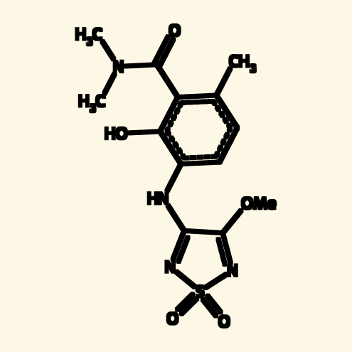 COC1=NS(=O)(=O)N=C1Nc1ccc(C)c(C(=O)N(C)C)c1O